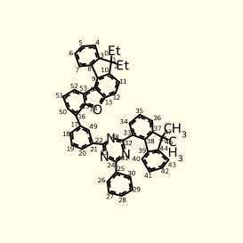 CCC1(CC)c2ccccc2-c2c1ccc1oc3c(-c4cccc(-c5nc(-c6ccccc6)nc(-c6cccc7c6-c6ccccc6C7(C)C)n5)c4)cccc3c21